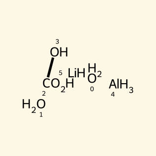 O.O.O=C(O)O.[AlH3].[LiH]